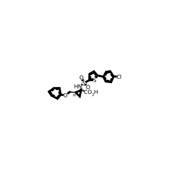 O=C(O)[C@@]1(NS(=O)(=O)c2ccc(-c3ccc(Cl)cc3)s2)C[C@H]1COc1ccccc1